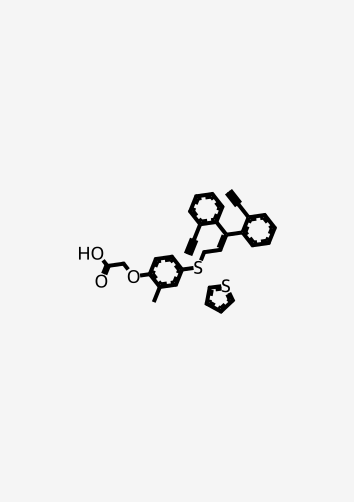 C#Cc1ccccc1C(=CCSc1ccc(OCC(=O)O)c(C)c1)c1ccccc1C#C.c1ccsc1